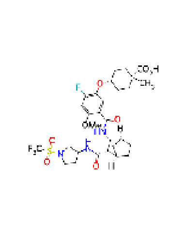 COc1cc(F)c(O[C@H]2CC[C@@](C)(C(=O)O)CC2)cc1C(=O)N[C@@H]1[C@H]2CC[C@H](C2)[C@@H]1C(=O)N[C@H]1CCN(S(=O)(=O)C(F)(F)F)C1